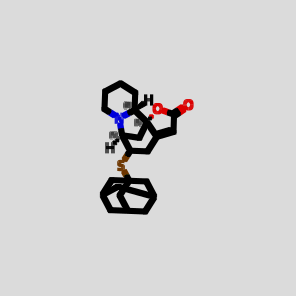 O=C1C=C2CC(SC34CC5CC(CC(C5)C3)C4)[C@@H]3C[C@@]2(O1)[C@H]1CCCCN31